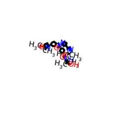 COc1ccc([C@H]2CC[C@H](CN(c3cc(-c4cnn(C(C)C)c4)ccn3)C(=O)[C@H]3CC[C@H](OC(=O)NCC(C)(C)CO)CC3)CC2)nc1C